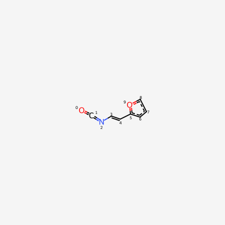 O=C=N/C=C/c1ccco1